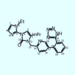 CCCc1cn(-c2nccn2CC)c(=O)n1Cc1ccc(-c2ccccc2-c2nnn[nH]2)cn1